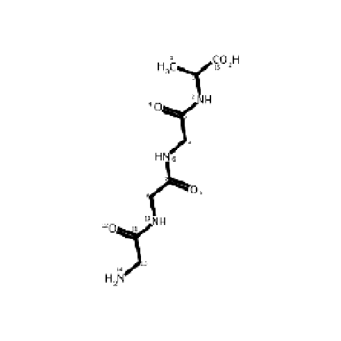 CC(NC(=O)CNC(=O)CNC(=O)CN)C(=O)O